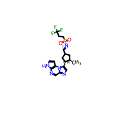 C[C@@H]1CC(/C=N/S(=O)(=O)CCC(F)(F)F)C[C@@H]1c1cnc2cnc3[nH]ccc3n12